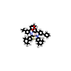 CC(C)(C)c1ccc(N2c3cc(C(C)(C)C)cc4c3B(c3sc5cc6c(cc5c32)C(C)(C)CCC6(C)C)N(c2ccc3c(c2)C(C)(C)CCC3(C)C)c2cc(-c3ccccc3)ccc2-4)c(-c2ccccc2)c1